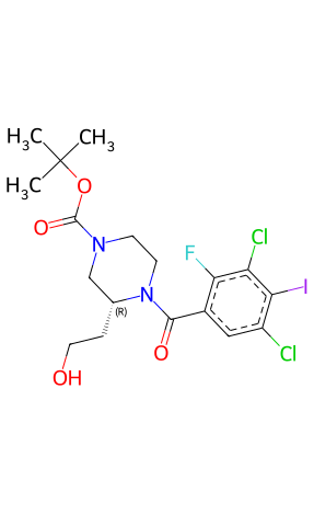 CC(C)(C)OC(=O)N1CCN(C(=O)c2cc(Cl)c(I)c(Cl)c2F)[C@H](CCO)C1